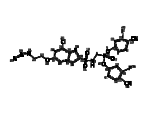 N#Cc1ccc(OP(=O)(CNS(=O)(=O)c2cc3cc(OCCN=[N+]=[N-])cc(Cl)c3s2)Oc2ccc(C#N)c(F)c2)cc1F